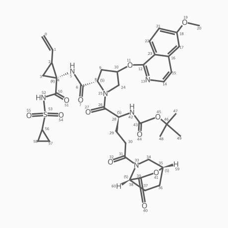 C=CC1C[C@]1(NC(=O)[C@@H]1CC(Oc2nccc3cc(OC)ccc23)CN1C(=O)[C@H](CCC(=O)N1C[C@@H]2CC[C@H]1C(=O)O2)NC(=O)OC(C)(C)C)C(=O)NS(=O)(=O)C1CC1